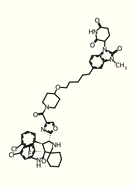 Cn1c(=O)n(C2CCC(=O)NC2=O)c2ccc(CCCCCOC3CCN(C(=O)c4coc([C@@H]5NC6(CCCCC6)[C@@]6(C(=O)Nc7cc(Cl)ccc76)[C@H]5c5cccc(Cl)c5F)n4)CC3)cc21